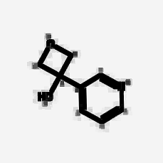 OC1(c2cccnc2)COC1